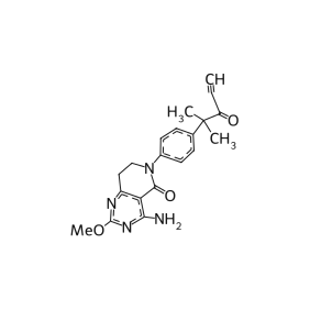 C#CC(=O)C(C)(C)c1ccc(N2CCc3nc(OC)nc(N)c3C2=O)cc1